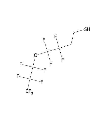 FC(F)(F)C(F)(F)C(F)(F)OC(F)(F)C(F)(F)CCS